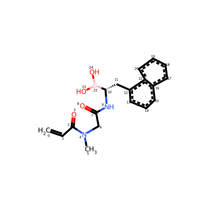 C=CC(=O)N(C)CC(=O)N[C@@H](Cc1cccc2ccccc12)B(O)O